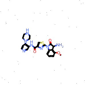 COc1cccc2c1C(N)C(=O)N2c1nc(C(=O)Nc2cnccc2N2CCNCC2)cs1